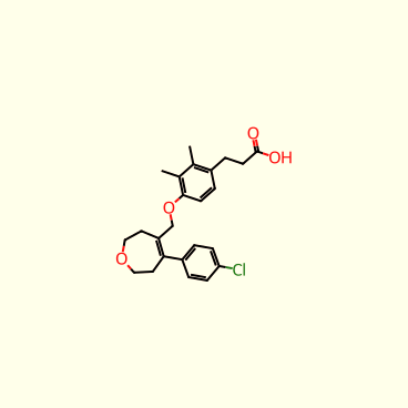 Cc1c(CCC(=O)O)ccc(OCC2=C(c3ccc(Cl)cc3)CCOCC2)c1C